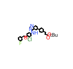 CC(C)(C)OC(=O)C=Cc1ccc(-c2ccc3ncnc(Nc4ccc(OCc5cccc(F)c5)c(Cl)c4)c3c2)cc1